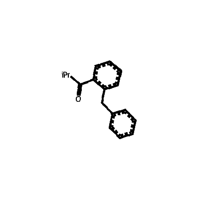 CC(C)C(=O)c1ccccc1Cc1ccccc1